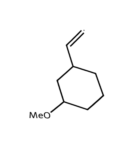 [CH]=CC1CCCC(OC)C1